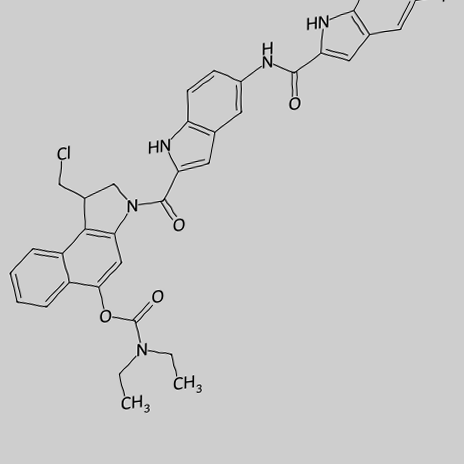 CCN(CC)C(=O)Oc1cc2c(c3ccccc13)C(CCl)CN2C(=O)c1cc2cc(NC(=O)c3cc4cc(F)ccc4[nH]3)ccc2[nH]1